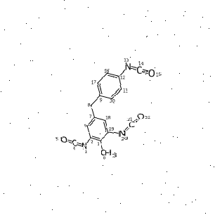 Cc1c(N=C=O)cc(Cc2ccc(N=C=O)cc2)cc1N=C=O